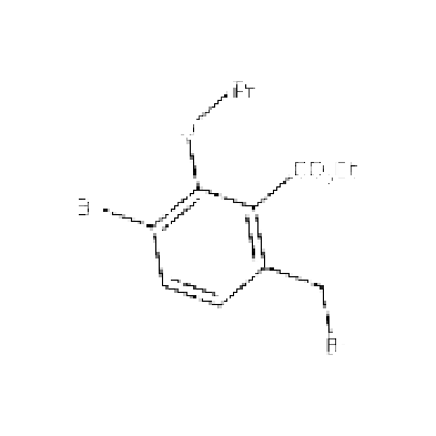 CCOC(=O)c1c(CBr)ccc(Br)c1OC(C)C